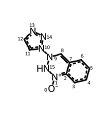 [O-][N+]1=c2ccccc2=CN(n2ccnn2)N1